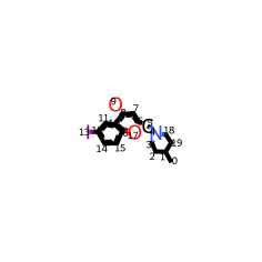 CC1CCN(Cc2cc(=O)c3cc(I)ccc3o2)CC1